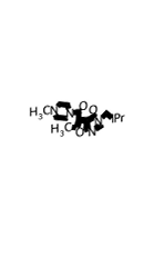 Cc1oc2ncn(CC(C)C)c(=O)c2c1C(=O)N1CCN(C)CC1